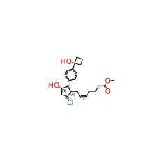 COC(=O)CCC/C=C\C[C@@H]1[C@@H](c2ccc(C3(O)CCC3)cc2)[C@H](O)C[C@@H]1Cl